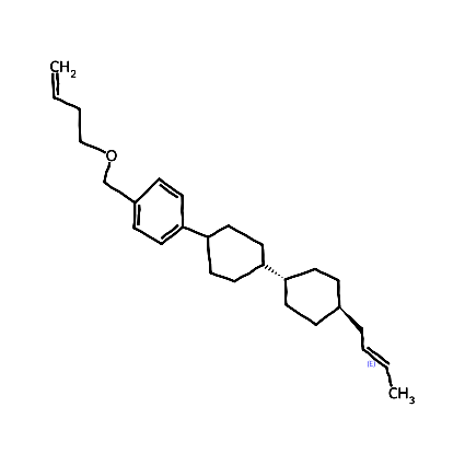 C=CCCOCc1ccc(C2CCC([C@H]3CC[C@H](C/C=C/C)CC3)CC2)cc1